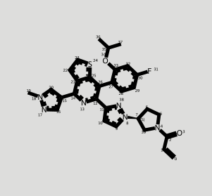 C=CC(=O)N1CC[C@H](n2ccc(-c3nc(-c4cnn(C)c4)c4ccsc4c3-c3ccc(F)cc3OC(C)C)n2)C1